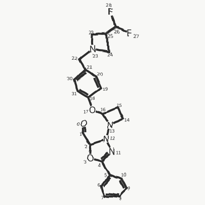 O=CC1OC(c2ccccc2)=NN1N1CCC1Oc1ccc(CN2CC(C(F)F)C2)cc1